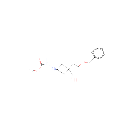 CC(C)(C)OC(=O)NN=C1CC(CO)(CCOCc2ccccc2)C1